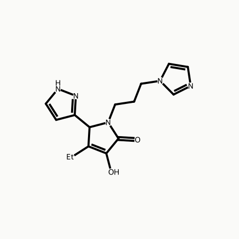 CCC1=C(O)C(=O)N(CCCn2ccnc2)C1c1cc[nH]n1